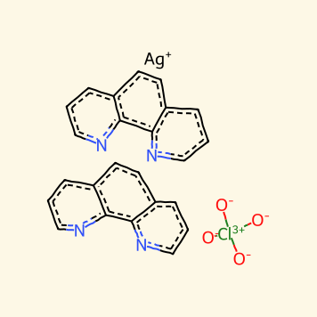 [Ag+].[O-][Cl+3]([O-])([O-])[O-].c1cnc2c(c1)ccc1cccnc12.c1cnc2c(c1)ccc1cccnc12